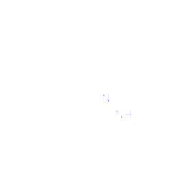 Nn1c2ccc(-c3ccccc3)cc2c2ccc(-c3ccccc3)cc21